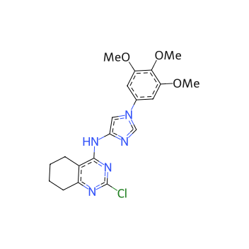 COc1cc(-n2cnc(Nc3nc(Cl)nc4c3CCCC4)c2)cc(OC)c1OC